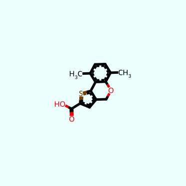 Cc1ccc(C)c2c1OCc1cc(C(=O)O)sc1-2